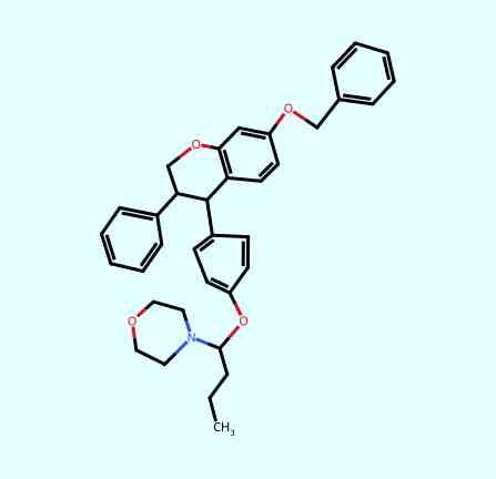 CCCC(Oc1ccc(C2c3ccc(OCc4ccccc4)cc3OCC2c2ccccc2)cc1)N1CCOCC1